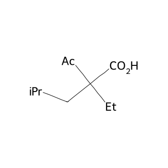 CCC(CC(C)C)(C(C)=O)C(=O)O